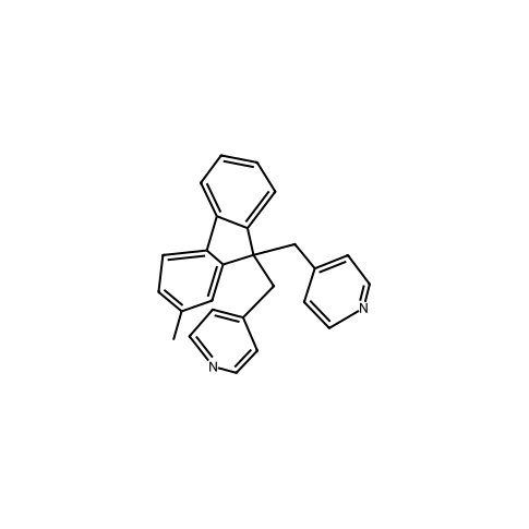 Cc1ccc2c(c1)C(Cc1ccncc1)(Cc1ccncc1)c1ccccc1-2